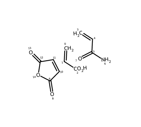 C=CC(=O)O.C=CC(N)=O.O=C1C=CC(=O)O1